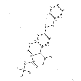 CC(C)C1c2ccc(OCc3ccccn3)cc2CCN1C(=O)OC(C)(C)C